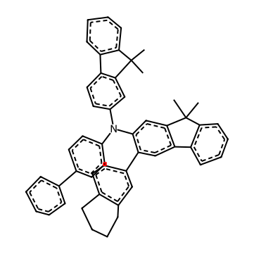 CC1(C)c2ccccc2-c2ccc(N(c3ccc(-c4ccccc4)cc3)c3cc4c(cc3-c3ccc5c(c3)CCCC5)-c3ccccc3C4(C)C)cc21